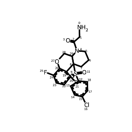 NCC(=O)N1CCCC2(S(=O)(=O)c3ccc(Cl)cc3)c3c(F)ccc(F)c3OCC12